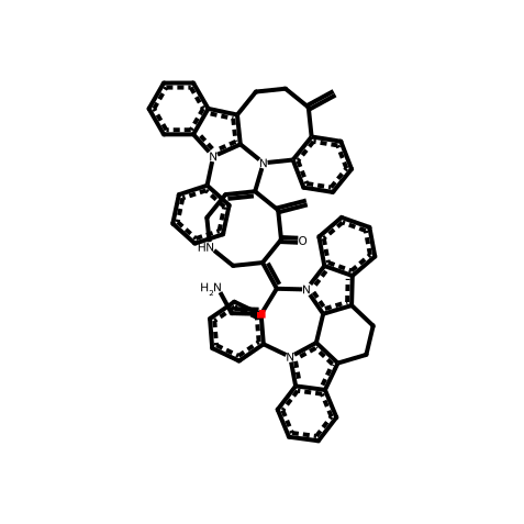 C=C1C(=O)/C(=C(/C=C\N)n2c3c(c4ccccc42)CCc2c-3n(-c3ccccc3)c3ccccc23)CNC/C=C\1N1c2ccccc2C(=C)CCc2c1n(-c1ccccc1)c1ccccc21